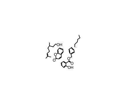 CC(C)=CCCC(C)CCO.O=C(OCc1ccccc1)c1ccccc1O.O=c1ccc2ccccc2o1.[CH2]CCCCC